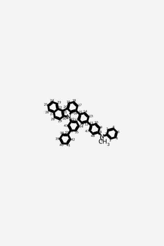 CN(c1ccccc1)c1ccc(-c2ccc(-c3cccc4c5c6ccccc6ccc5n(-c5cccc(-c6ccccc6)c5)c34)cc2)cc1